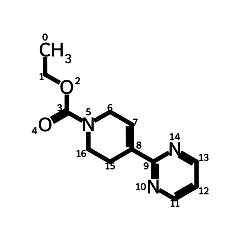 CCOC(=O)N1CC=C(c2ncccn2)CC1